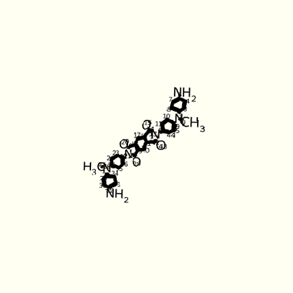 CN(c1ccc(N)cc1)c1ccc(-n2c(=O)c3cc4c(=O)n(-c5ccc(N(C)c6ccc(N)cc6)cc5)c(=O)c4cc3c2=O)cc1